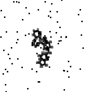 Cc1c(-c2ncccc2F)nn2c1CN(Cc1ccc3c(n1)CCC3)CC2